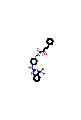 CN(C)c1nc(N[C@H]2CC[C@@H](CNC(=O)C(=O)/C=C/c3ccccc3)CC2)nc2ccccc12